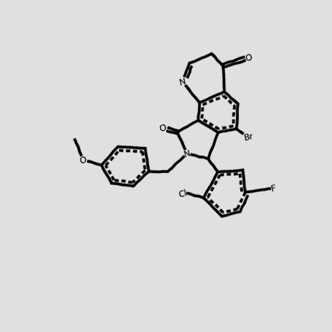 COc1ccc(CN2C(=O)c3c4c(cc(Br)c3C2c2cc(F)ccc2Cl)C(=O)CC=N4)cc1